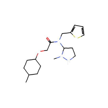 CC1CCC(OCC(=O)N(Cc2cccs2)C2CCNN2C)CC1